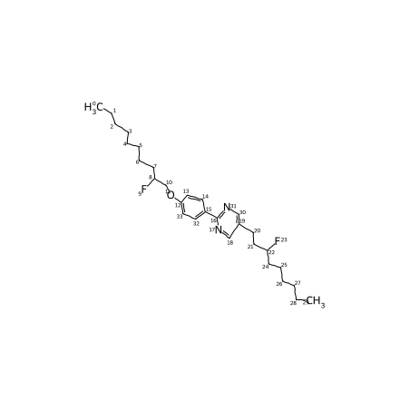 CCCCCCCCC(F)COc1ccc(-c2ncc(CCC(F)CCCCCC)cn2)cc1